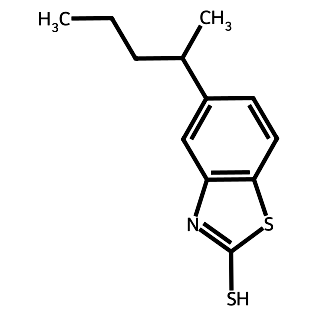 CCCC(C)c1ccc2sc(S)nc2c1